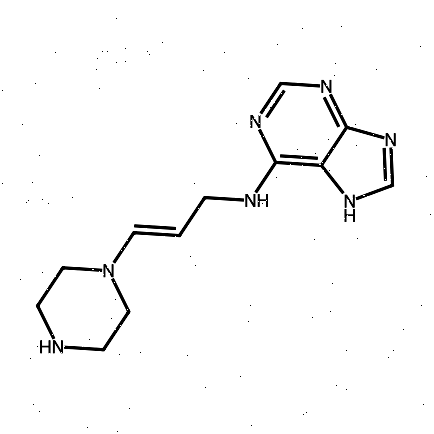 C(=CN1CCNCC1)CNc1ncnc2nc[nH]c12